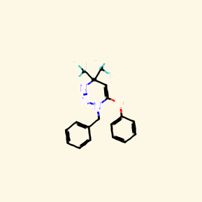 FC(F)(F)C1(C(F)(F)F)C=C(Oc2ccccc2)N(Cc2ccccc2)N=N1